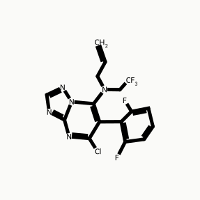 C=CCN(CC(F)(F)F)c1c(-c2c(F)cccc2F)c(Cl)nc2ncnn12